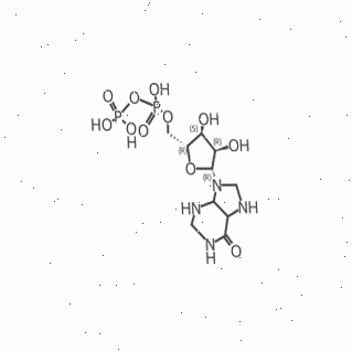 O=C1NCNC2C1NCN2[C@@H]1O[C@H](COP(=O)(O)OP(=O)(O)O)[C@@H](O)[C@H]1O